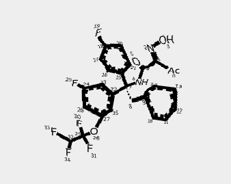 CC(=O)/C(=N\O)C(=O)N[C@](Cc1ccccc1)(c1ccc(F)cc1)c1cc(F)cc(OC(F)(F)C(F)F)c1